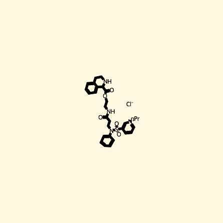 CCC[n+]1cccc(S(=O)(=O)N(CCC(=O)NCCOC(=O)C2NCCc3ccccc32)c2ccccc2)c1.[Cl-]